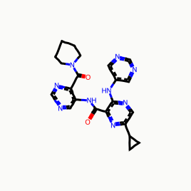 O=C(Nc1cncnc1C(=O)N1CCCCC1)c1nc(C2CC2)cnc1Nc1cncnc1